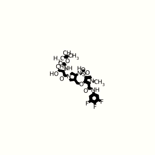 C[C@@H](O)[C@H](NC(=O)OC(C)(C)C)C(=O)N1CC2COc3c(cn(C)c3C(=O)Nc3cc(F)c(F)c(F)c3)S(=O)(=O)NC2C1